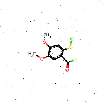 COc1cc(SCl)c(C(=O)Cl)cc1OC